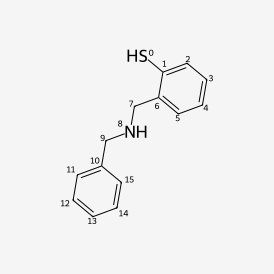 Sc1ccccc1CNCc1ccccc1